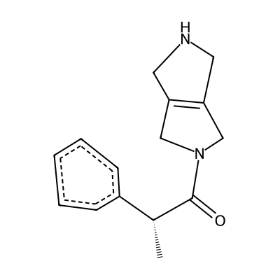 C[C@@H](C(=O)N1CC2=C(CNC2)C1)c1ccccc1